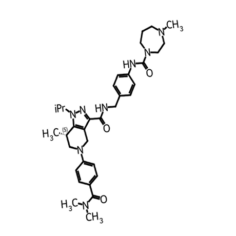 CC(C)n1nc(C(=O)NCc2ccc(NC(=O)N3CCCN(C)CC3)cc2)c2c1[C@@H](C)CN(c1ccc(C(=O)N(C)C)cc1)C2